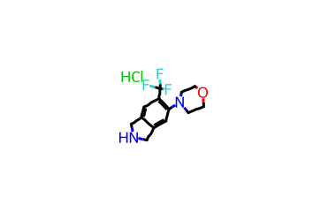 Cl.FC(F)(F)c1cc2c(cc1N1CCOCC1)CNC2